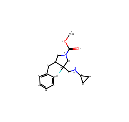 CC(C)(C)OC(=O)N1CC(Cc2ccccc2)C(F)(CNC2CC2)C1